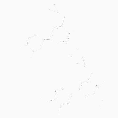 COc1ccc(-c2cc(CBr)c(=O)n(CC3CC3)n2)cc1F.COc1ccc(-c2cc(CO)c(=O)n(CC3CC3)n2)cc1F